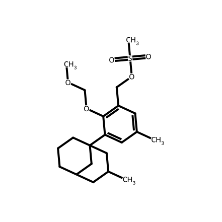 COCOc1c(COS(C)(=O)=O)cc(C)cc1C12CCCC(CC(C)C1)C2